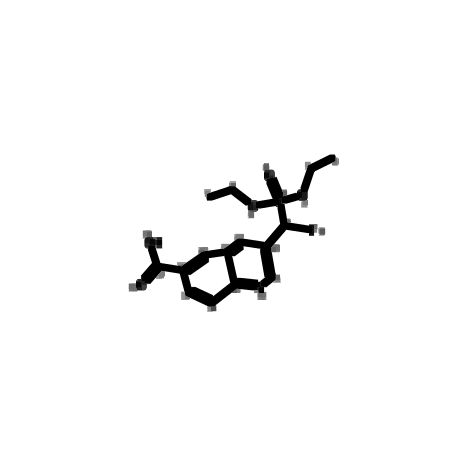 CCOP(=O)(OCC)C(F)c1cnc2ccc(C(=O)O)cc2c1